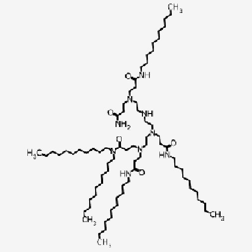 CCCCCCCCCCCNC(=O)CCN(CCNCCN(CCC(=O)NCCCCCCCCCCC)CCN(CCC(=O)NCCCCCCCCCCC)CCC(=O)N(CCCCCCCCCCC)CCCCCCCCCCC)CCC(N)=O